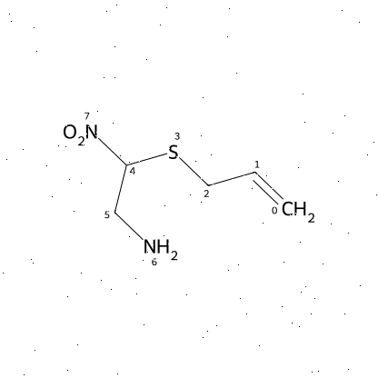 C=CCSC(CN)[N+](=O)[O-]